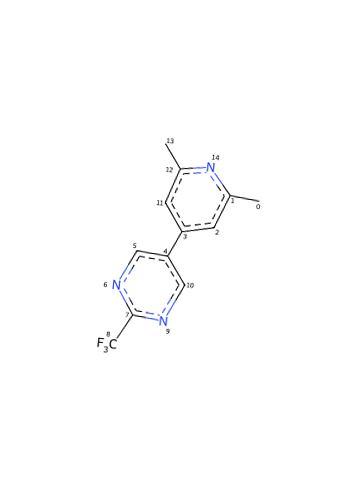 Cc1cc(-c2cnc(C(F)(F)F)nc2)cc(C)n1